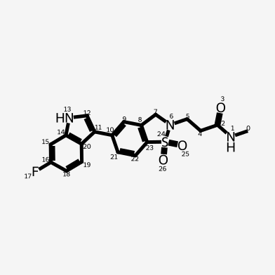 CNC(=O)CCN1Cc2cc(-c3c[nH]c4cc(F)ccc34)ccc2S1(=O)=O